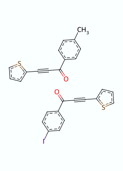 Cc1ccc(C(=O)C#Cc2cccs2)cc1.O=C(C#Cc1cccs1)c1ccc(I)cc1